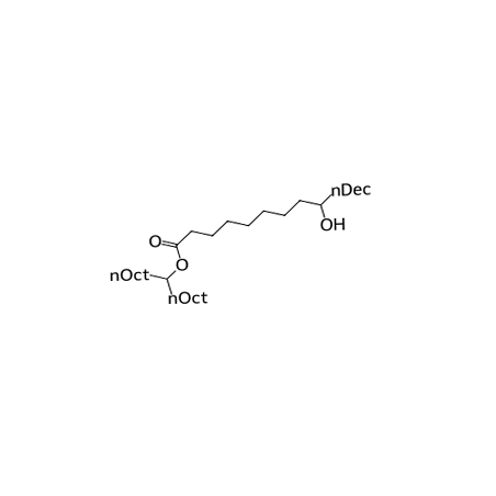 CCCCCCCCCCC(O)CCCCCCCC(=O)OC(CCCCCCCC)CCCCCCCC